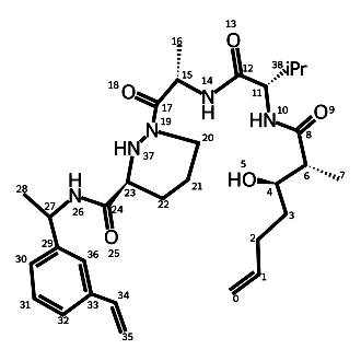 C=CCC[C@@H](O)[C@@H](C)C(=O)N[C@H](C(=O)N[C@@H](C)C(=O)N1CCC[C@@H](C(=O)NC(C)c2cccc(C=C)c2)N1)C(C)C